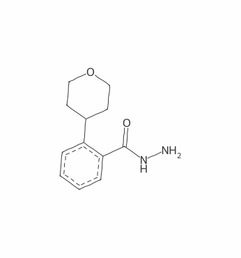 NNC(=O)c1ccccc1C1CCOCC1